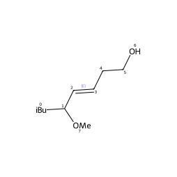 CCC(C)C(/C=C/CCO)OC